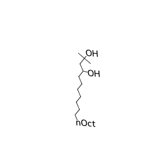 CCCCCCCCCCCCCCCC(O)CC(C)(C)O